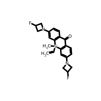 C=C[Si]1(C)c2cc(N3CC(F)C3)ccc2C(=O)c2ccc(N3CC(F)C3)cc21